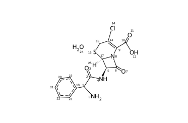 NC(C(=O)N[C@@H]1C(=O)N2C(C(=O)O)=C(Cl)CS[C@H]12)c1ccccc1.O